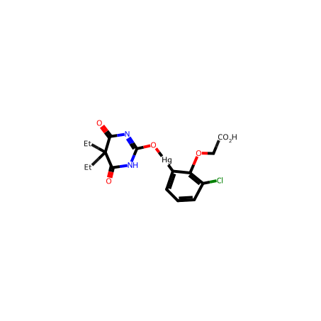 CCC1(CC)C(=O)N=C([O][Hg][c]2cccc(Cl)c2OCC(=O)O)NC1=O